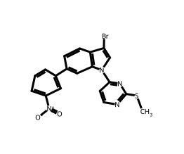 CSc1nccc(-n2cc(Br)c3ccc(-c4cccc([N+](=O)[O-])c4)cc32)n1